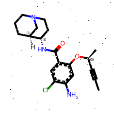 CC#C[C@H](C)Oc1cc(N)c(Cl)cc1C(=O)N[C@H]1CCN2CCC[C@H]1C2